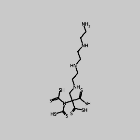 NCCNCCNCCNCC(C(=S)S)(C(=S)S)N(C(=S)S)C(=S)S